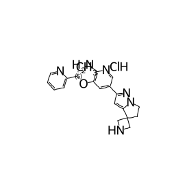 C[C@H](Oc1cc(-c2cc3n(n2)CCC32CNC2)cnc1N)c1ccccn1.Cl